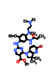 C=CC(=O)Nc1cc(Nc2ncc(C(=O)OC(C)C)c(N3CC(C)(C)c4nc(Br)ccc43)n2)c(OC)cc1N(C)CCN(CC)CC